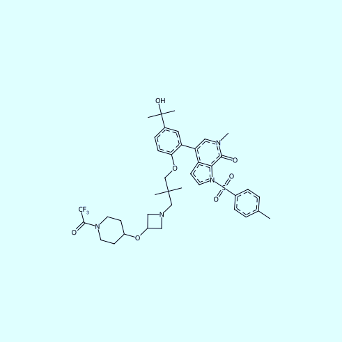 Cc1ccc(S(=O)(=O)n2ccc3c(-c4cc(C(C)(C)O)ccc4OCC(C)(C)CN4CC(OC5CCN(C(=O)C(F)(F)F)CC5)C4)cn(C)c(=O)c32)cc1